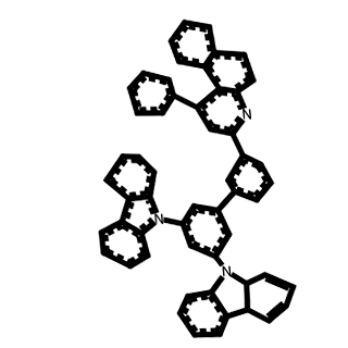 C1=CC2c3ccccc3N(c3cc(-c4cccc(-c5cc(-c6ccccc6)c6c(ccc7ccccc76)n5)c4)cc(-n4c5ccccc5c5ccccc54)c3)C2C=C1